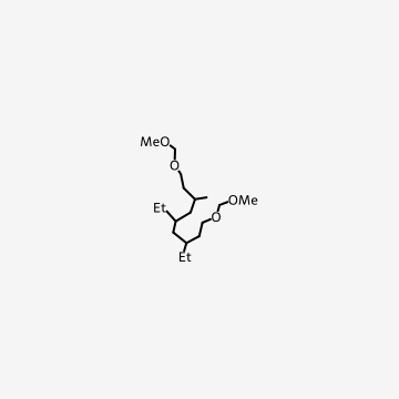 CCC(CCOCOC)CC(CC)CC(C)CCOCOC